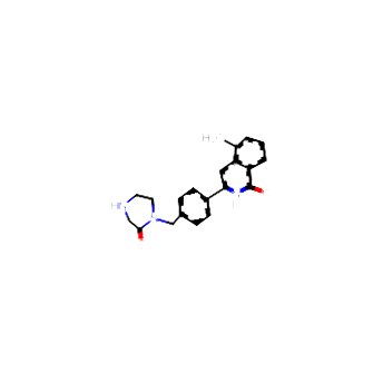 Cc1cccc2c(=O)[nH]c(-c3ccc(CN4CCNCC4=O)cc3)cc12